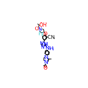 CC(O)C(=O)N1CCC(Oc2ccc(-c3ncnc(Nc4ccc(N5CCN(C6COC6)CC5C)cc4)n3)cc2C#N)C(F)(F)C1